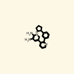 NC1=C(N)NCC(c2cccnc2-c2cccc(C3CCCC3)c2)=C1